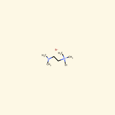 CC[N+](C)(C)CCN(C)C.[Br-]